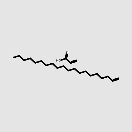 C=CC(=O)O.C=CCCCCCCCCCCCCCCCCCC